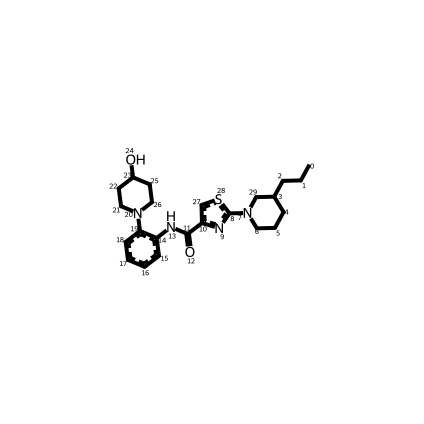 CCCC1CCCN(c2nc(C(=O)Nc3ccccc3N3CCC(O)CC3)cs2)C1